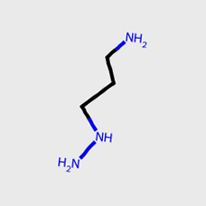 NCCCNN